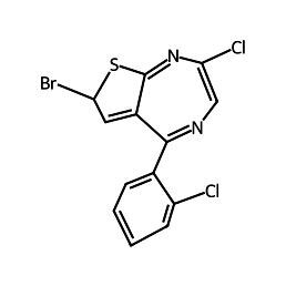 ClC1=CN=C(c2ccccc2Cl)C2=CC(Br)SC2=N1